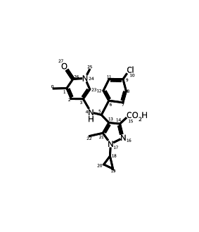 Cc1cc(NC(c2ccc(Cl)cc2)c2c(C(=O)O)nn(C3CC3)c2C)cn(C)c1=O